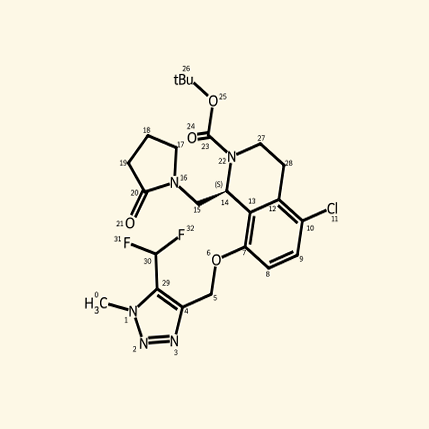 Cn1nnc(COc2ccc(Cl)c3c2[C@@H](CN2CCCC2=O)N(C(=O)OC(C)(C)C)CC3)c1C(F)F